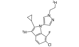 [2H]CCn1cc(-n2c(C3CC3)c([2H])c3ccc(Cl)c(F)c32)cn1